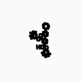 CN1C(C)(C)CC(OC(=O)c2cc(C(O)OC3CC(C)(C)N(C)C(C)(C)C3)ccc2-c2ccc(C3C=CC=CC=C3)cc2)CC1(C)C